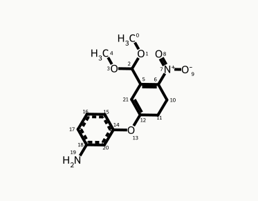 COC(OC)C1=C([N+](=O)[O-])CCC(Oc2cccc(N)c2)=C1